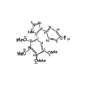 COc1cc(-c2[nH]nnc2-c2ccc(F)cc2)c(OC)c(OC)c1OC